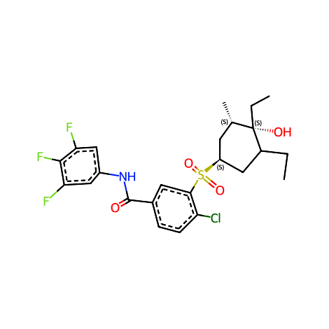 CCC1C[C@@H](S(=O)(=O)c2cc(C(=O)Nc3cc(F)c(F)c(F)c3)ccc2Cl)C[C@H](C)[C@@]1(O)CC